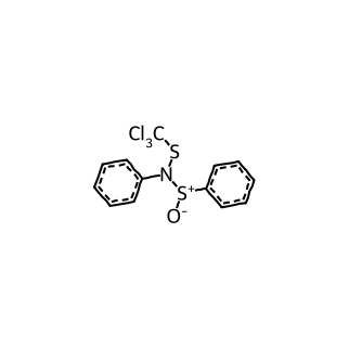 [O-][S+](c1ccccc1)N(SC(Cl)(Cl)Cl)c1ccccc1